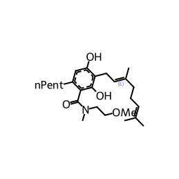 CCCCCc1cc(O)c(C/C=C(\C)CCC=C(C)C)c(O)c1C(=O)N(C)CCOC